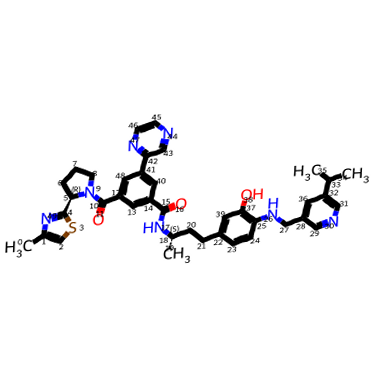 Cc1csc([C@H]2CCCN2C(=O)c2cc(C(=O)N[C@@H](C)CCc3ccc(NCc4cncc(C(C)C)c4)c(O)c3)cc(-c3cnccn3)c2)n1